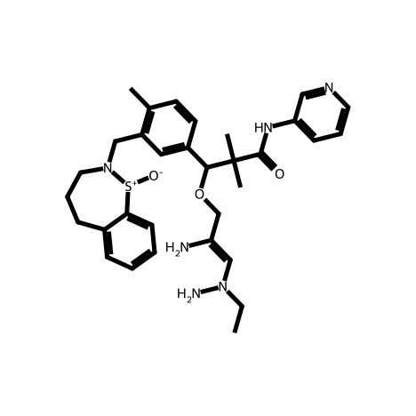 CCN(N)/C=C(\N)COC(c1ccc(C)c(CN2CCCc3ccccc3[S+]2[O-])c1)C(C)(C)C(=O)Nc1cccnc1